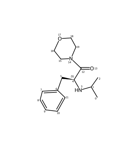 CC(C)N[C@@H](Cc1ccccc1)C(=O)N1CCOCC1